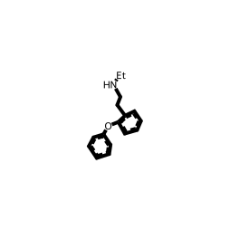 CCNCCc1ccccc1Oc1ccccc1